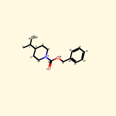 CC(C1CCN(C(=O)OCc2ccccc2)CC1)C(C)(C)C